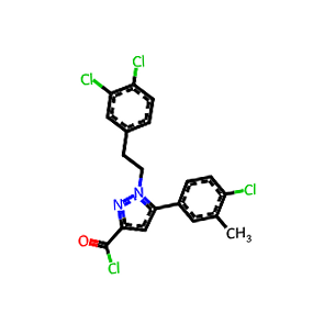 Cc1cc(-c2cc(C(=O)Cl)nn2CCc2ccc(Cl)c(Cl)c2)ccc1Cl